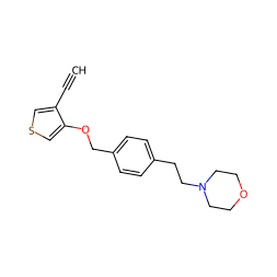 C#Cc1cscc1OCc1ccc(CCN2CCOCC2)cc1